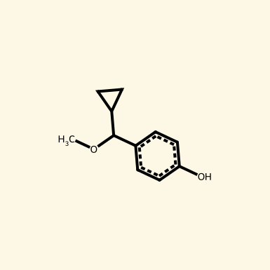 COC(c1ccc(O)cc1)C1CC1